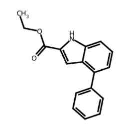 CCOC(=O)c1cc2c(-c3ccccc3)cccc2[nH]1